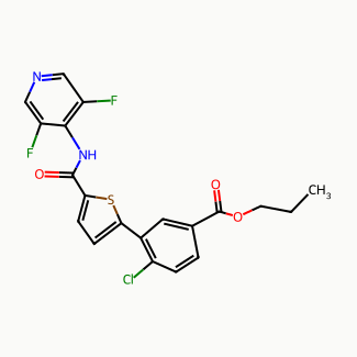 CCCOC(=O)c1ccc(Cl)c(-c2ccc(C(=O)Nc3c(F)cncc3F)s2)c1